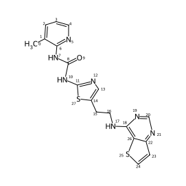 Cc1cccnc1NC(=O)Nc1ncc(CCNc2ncnc3ccsc23)s1